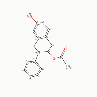 CC(=O)OC1Cc2ccc(O)cc2CN1c1ccccc1